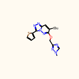 Cn1cnc(COc2nn3c(-c4cccs4)nnc3cc2C(C)(C)C)n1